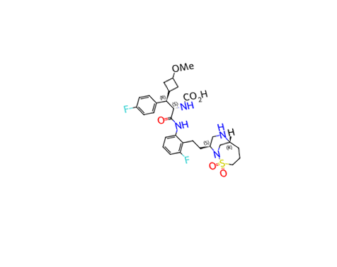 COC1CC([C@H](c2ccc(F)cc2)[C@H](NC(=O)O)C(=O)Nc2cccc(F)c2CC[C@H]2CN[C@@H]3CCCS(=O)(=O)N2C3)C1